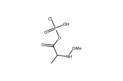 CONC(C)C(=O)OP(=O)(O)Cl